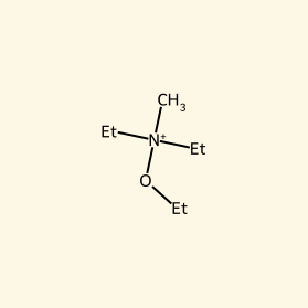 CCO[N+](C)(CC)CC